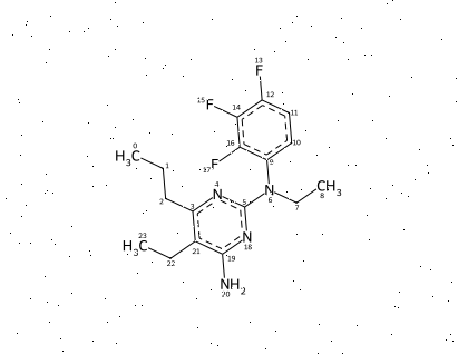 CCCc1nc(N(CC)c2ccc(F)c(F)c2F)nc(N)c1CC